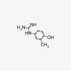 Cc1cc(NC(=N)N)ccc1O